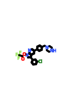 O=C(On1cc(-c2cccc(Cl)c2)c2cc(-c3ccc(CN4CCNCC4)cc3)cnc21)C(F)(F)F